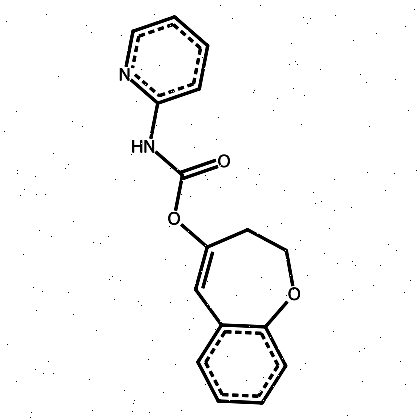 O=C(Nc1ccccn1)OC1=Cc2ccccc2OCC1